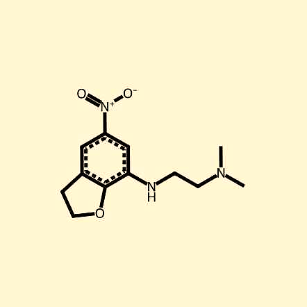 CN(C)CCNc1cc([N+](=O)[O-])cc2c1OCC2